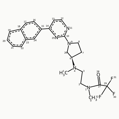 CN(CCN(C)[C@@H]1CCN(c2nccc(-c3ccc4ccccc4c3)n2)C1)C(=O)C(F)(F)F